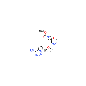 CC(C)(C)OC(=O)N1CC2(CN(C[C@@H]3CC[C@H](c4ccc5c(N)ncnn45)O3)CCO2)C1